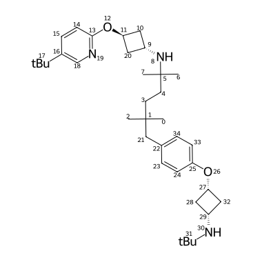 CC(C)(CCC(C)(C)N[C@H]1C[C@H](Oc2ccc(C(C)(C)C)cn2)C1)Cc1ccc(O[C@H]2C[C@@H](NC(C)(C)C)C2)cc1